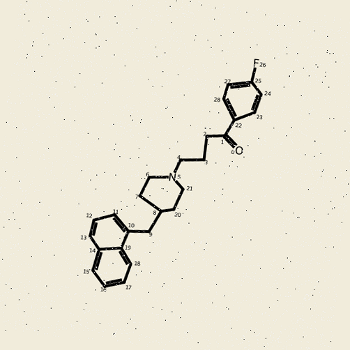 O=C(CCCN1CCC(Cc2cccc3ccccc23)CC1)c1ccc(F)cc1